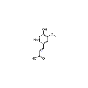 COc1cc(/C=C/C(=O)O)ccc1O.[NaH]